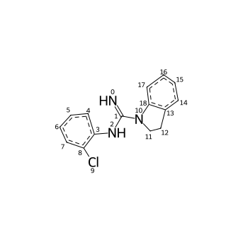 N=C(Nc1ccccc1Cl)N1CCc2ccccc21